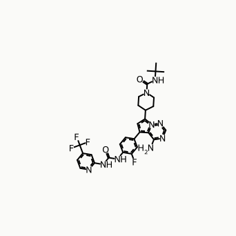 CC(C)(C)NC(=O)N1CCC(c2cc(-c3ccc(NC(=O)Nc4cc(C(F)(F)F)ccn4)c(F)c3)c3c(N)ncnn23)CC1